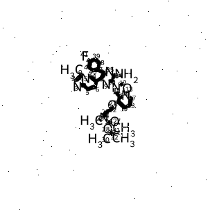 Cc1cnc2ccc(-c3nc(N(C=O)Cc4ncccc4OCCN(C)C(=O)OC(C)(C)C)c(N)nc3-c3ccc(F)cc3)cn12